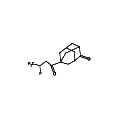 O=C1C2CC3CC1CC(C(=O)CC(F)C(F)(F)F)(C3)C2